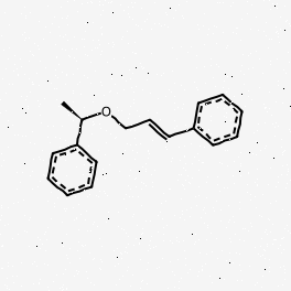 C[C@@H](OCC=Cc1ccccc1)c1ccccc1